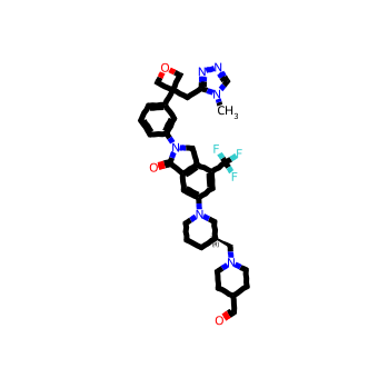 Cn1cnnc1CC1(c2cccc(N3Cc4c(cc(N5CCC[C@H](CN6CCC(C=O)CC6)C5)cc4C(F)(F)F)C3=O)c2)COC1